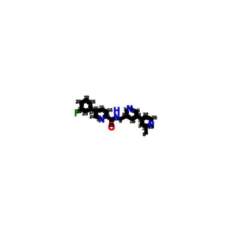 Cc1cc(-c2cncc(CNC(=O)c3ccc(-c4cccc(F)c4)cn3)c2)ccn1